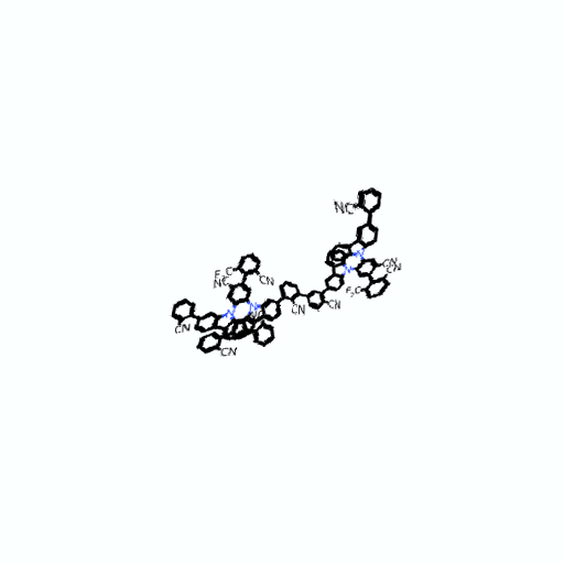 N#Cc1ccccc1-c1ccc2c(c1)c1ccccc1n2-c1cc(C#N)c(-c2c(C#N)cccc2C(F)(F)F)cc1-n1c2ccccc2c2cc(-c3cc(-c4cccc(-c5ccc6c7ccc(-c8ccccc8C#N)cc7n(-c7cc(-c8c(C#N)cccc8C(F)(F)F)c(C#N)cc7-n7c8cc(-c9ccccc9C#N)ccc8c8ccc(-c9ccccc9C#N)cc87)c6c5)c4C#N)ccc3C#N)ccc21